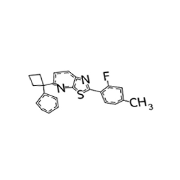 Cc1ccc(-c2nc3ccc(C4(c5ccccc5)CCC4)nc3s2)c(F)c1